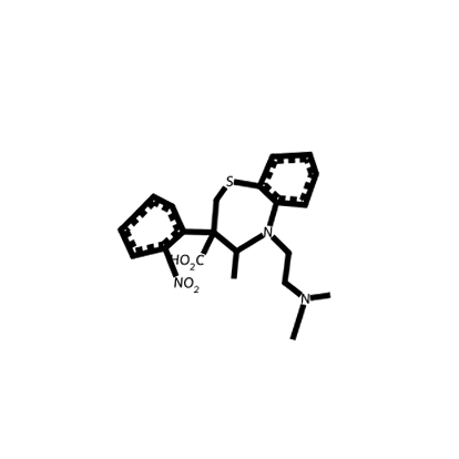 CC1N(CCN(C)C)c2ccccc2SCC1(C(=O)O)c1ccccc1[N+](=O)[O-]